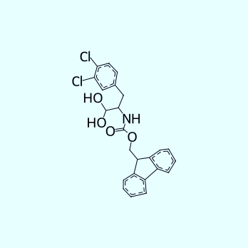 O=C(NC(Cc1ccc(Cl)c(Cl)c1)C(O)O)OCC1c2ccccc2-c2ccccc21